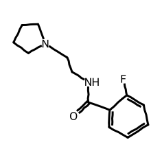 O=C(NCCN1CCCC1)c1ccccc1F